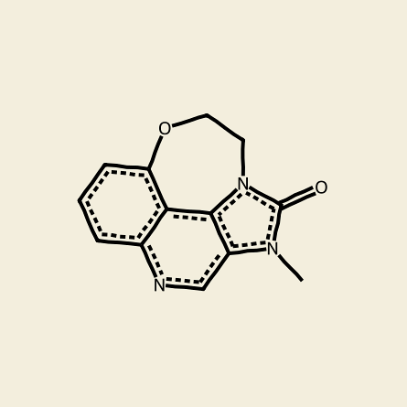 Cn1c(=O)n2c3c4c(cccc4ncc31)OCC2